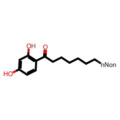 CCCCCCCCCCCCCCCC(=O)c1ccc(O)cc1O